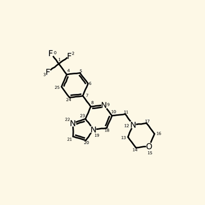 FC(F)(F)c1ccc(-c2nc(CN3CCOCC3)cn3ccnc23)cc1